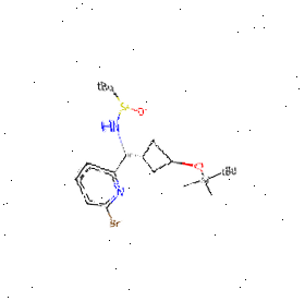 CC(C)(C)[S@@+]([O-])NC(c1cccc(Br)n1)[C@H]1C[C@H](O[Si](C)(C)C(C)(C)C)C1